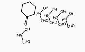 O=C1CCCCC1.O=CNO.O=CNO.O=CNO.O=CNO.O=CNO